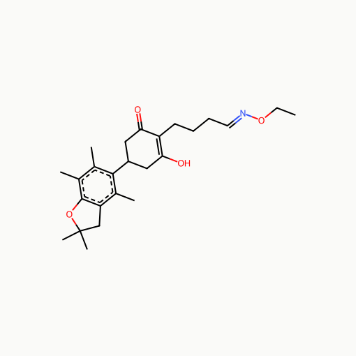 CCON=CCCCC1=C(O)CC(c2c(C)c(C)c3c(c2C)CC(C)(C)O3)CC1=O